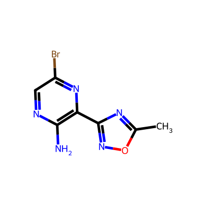 Cc1nc(-c2nc(Br)cnc2N)no1